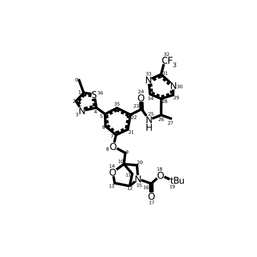 Cc1cnc(-c2cc(OCC34CC(CO3)N(C(=O)OC(C)(C)C)C4)cc(C(=O)NC(C)c3cnc(C(F)(F)F)nc3)c2)s1